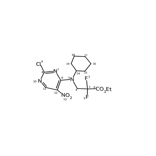 CCOC(=O)C(F)(F)CN(c1nc(Cl)ncc1[N+](=O)[O-])C1CCCCC1